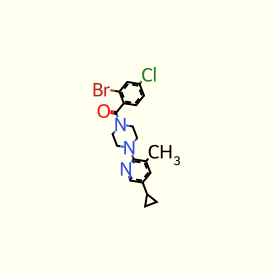 Cc1cc(C2CC2)cnc1N1CCN(C(=O)c2ccc(Cl)cc2Br)CC1